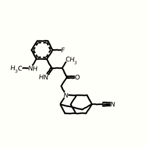 CNc1cccc(F)c1C(=N)C(C)C(=O)CN1C2CC3CC1CC(C#N)(C3)C2